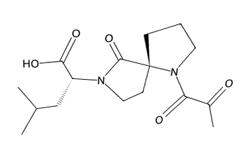 CC(=O)C(=O)N1CCC[C@]12CCN([C@H](CC(C)C)C(=O)O)C2=O